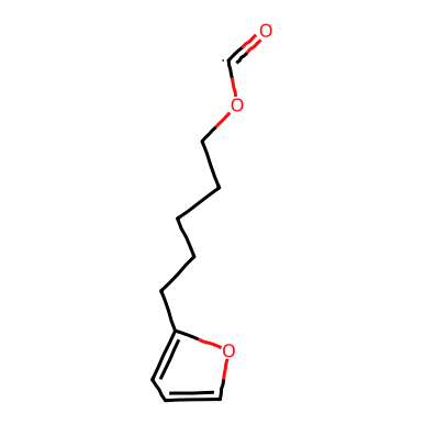 O=[C]OCCCCCc1ccco1